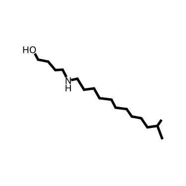 CC(C)CCCCCCCCCCNCCCCO